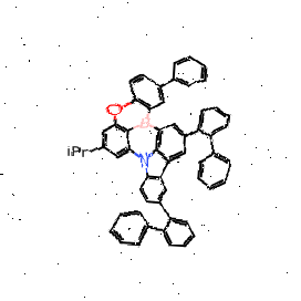 CC(C)c1cc2c3c(c1)-n1c4ccc(-c5ccccc5-c5ccccc5)cc4c4cc(-c5ccccc5-c5ccccc5)cc(c41)B3c1cc(-c3ccccc3)ccc1O2